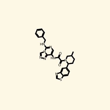 CC1CCC(c2ccc3scnc3c2)N(C(=O)C(=O)Nc2cnc(NCc3ccccc3)n3cnnc23)C1